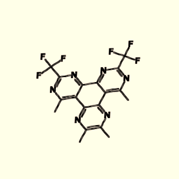 Cc1nc2c(nc1C)c1c(C)nc(C(F)(F)F)nc1c1nc(C(F)(F)F)nc(C)c12